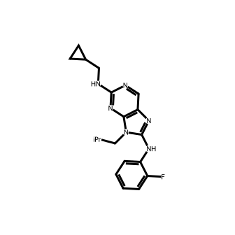 CC(C)Cn1c(Nc2ccccc2F)nc2cnc(NCC3CC3)nc21